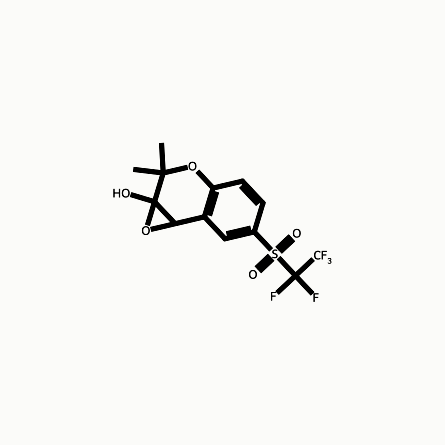 CC1(C)Oc2ccc(S(=O)(=O)C(F)(F)C(F)(F)F)cc2C2OC21O